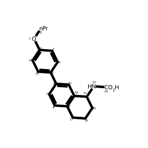 CCCOc1ccc(-c2ccc3c(c2)C(NC(=O)O)CCC3)cc1